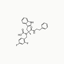 C[C@@](Cc1c[nH]c2ccccc12)(C(=O)NCCc1ccccc1)N(Cc1ccc(F)cc1F)C(=O)O